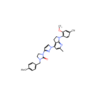 COc1ccc(CN2CCN(c3ccn(-c4cc(C)nc5c4CCN5c4ccc(C#N)cc4OC(F)(F)F)n3)C2=O)cc1